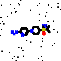 CC(C)S(=N)(=O)C1CCN(c2ccc(N)nc2)CC1